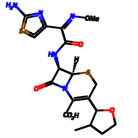 CO/N=C(\C(=O)N[C@@H]1C(=O)N2C(C(=O)O)=C(C3OCCC3C)CS[C@H]12)c1csc(N)n1